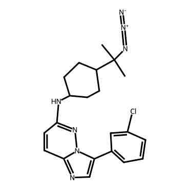 CC(C)(N=[N+]=[N-])C1CCC(Nc2ccc3ncc(-c4cccc(Cl)c4)n3n2)CC1